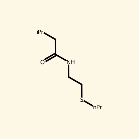 CCCSCCNC(=O)CC(C)C